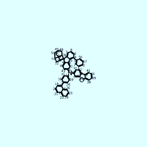 c1ccc(-c2cccc3c2-c2cc(N(c4ccc(-c5cccc6ccccc56)cc4)c4ccc5c(c4)oc4ccccc45)ccc2C32C3CC4CC5CC2C53C4)cc1